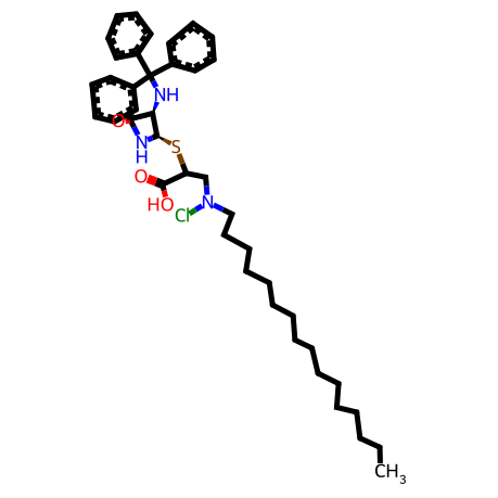 CCCCCCCCCCCCCCCCN(Cl)CC(S[C@H]1NC(=O)[C@H]1NC(c1ccccc1)(c1ccccc1)c1ccccc1)C(=O)O